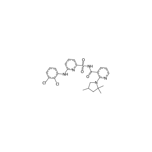 CC1CN(c2ncccc2C(=O)NS(=O)(=O)c2cccc(Nc3cccc(Cl)c3Cl)n2)C(C)(C)C1